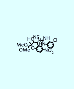 COC(OC)C1(C)Oc2ccc([N+](=O)[O-])cc2C(N(C#N)C(=N)Nc2cccc(Cl)c2)C1O